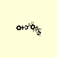 CN(c1cc(F)c(S(=O)(=O)Nc2cscn2)cc1Cl)C1CCN(C(C)(C)c2ccccc2)C1